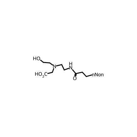 CCCCCCCCCCCC(=O)NCCN(CCO)CC(=O)O